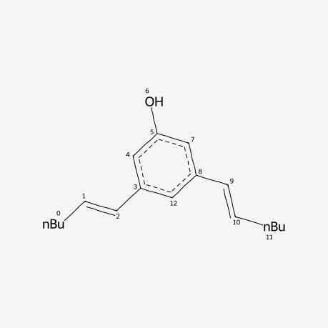 CCCCC=Cc1cc(O)cc(C=CCCCC)c1